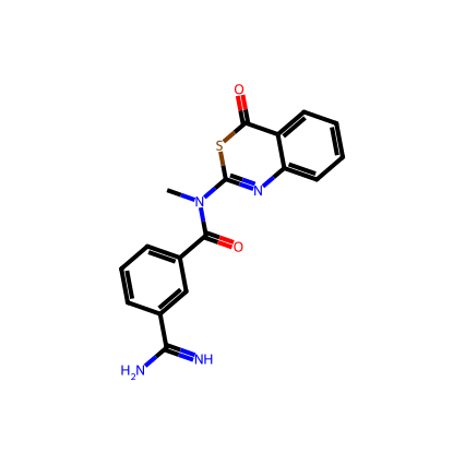 CN(C(=O)c1cccc(C(=N)N)c1)c1nc2ccccc2c(=O)s1